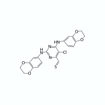 S=Cc1nc(Nc2ccc3c(c2)OCCO3)nc(Nc2ccc3c(c2)OCCO3)c1Cl